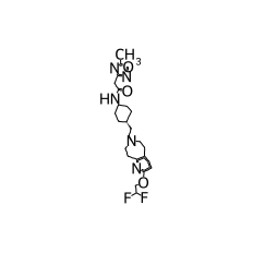 Cc1nc(CC(=O)N[C@H]2CC[C@H](CCN3CCc4ccc(OCC(F)F)nc4CC3)CC2)no1